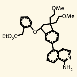 CCOC(=O)Cc1ccccc1OC1CC(CCOC)(CCOC)c2ccc(-c3cccc4c(N)nccc34)cc21